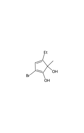 CCC1=CC(Br)=C(O)C1(C)O